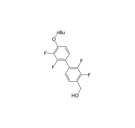 CCCCOc1ccc(-c2ccc(CO)c(F)c2F)c(F)c1F